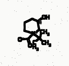 CC(C)(C)[N+]1(C(=O)[O-])CCC[C@@H](O)C1